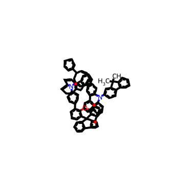 CC1(C)c2ccccc2-c2ccc(N(c3ccc(-c4cccc5c4C4(c6ccccc6Oc6c(-c7ccc(N(C8=C\CCC9=C(/C=C\8)c8ccccc8C9)/C8=C/C=C\C=CC(c9ccccc9)C8)cc7)cccc64)c4ccccc4-5)cc3)c3ccccc3-c3ccccc3)cc21